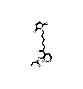 CCC(=O)OC1=C(C(=O)CCCCCN2C(=O)C=CC2=O)C=CON1